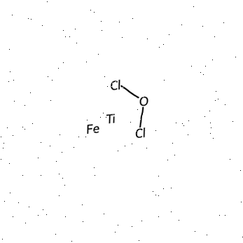 ClOCl.[Fe].[Ti]